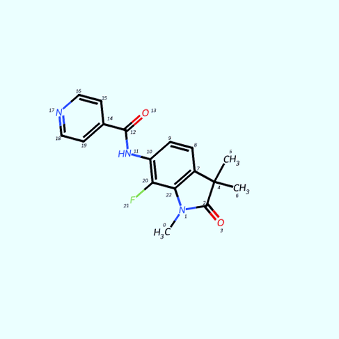 CN1C(=O)C(C)(C)c2ccc(NC(=O)c3ccncc3)c(F)c21